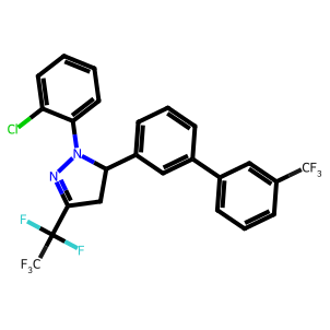 FC(F)(F)c1cccc(-c2cccc(C3CC(C(F)(F)C(F)(F)F)=NN3c3ccccc3Cl)c2)c1